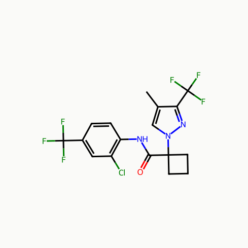 Cc1cn(C2(C(=O)Nc3ccc(C(F)(F)F)cc3Cl)CCC2)nc1C(F)(F)F